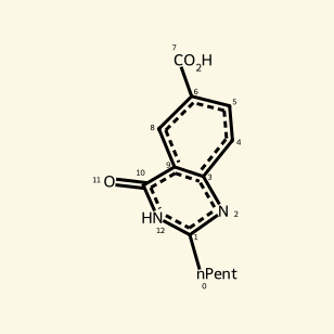 CCCCCc1nc2ccc(C(=O)O)cc2c(=O)[nH]1